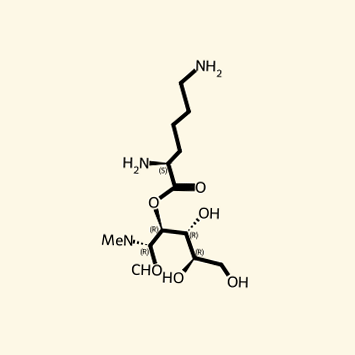 CN[C@@H](C=O)[C@@H](OC(=O)[C@@H](N)CCCCN)[C@H](O)[C@H](O)CO